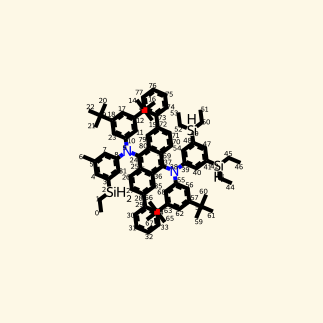 CC[SiH2]c1cc(C)cc(N(c2cc(C(C)(C)C)cc(C(C)(C)C)c2)c2c3ccc(-c4ccccc4)cc3c(N(c3cc([SiH](CC)CC)cc([SiH](CC)CC)c3)c3cc(C(C)(C)C)cc(C(C)(C)C)c3)c3ccc(-c4ccccc4)cc23)c1